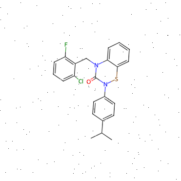 CC(C)c1ccc(N2Sc3ccccc3N(Cc3c(F)cccc3Cl)C2=O)cc1